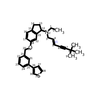 CCN(C/C=C/C#CC(C)(C)C)C1CCc2ccc(OCc3cccc(-c4ccsc4)c3)cc21